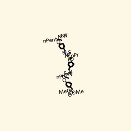 CCCCCC(C)(N=[N+]=[N-])Oc1ccc(/C=N/N(C)[PH](=S)C(C)(CCC)Oc2ccc(/C=N/N(C)[PH](=S)C(C)(CCC)Oc3ccc(CP(=O)(OC)OC)cc3)cc2)cc1